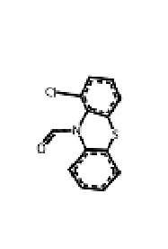 O=CN1c2ccccc2Sc2cccc(Cl)c21